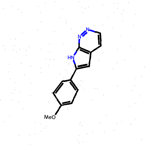 COc1[c]cc(-c2cc3ccnnc3[nH]2)cc1